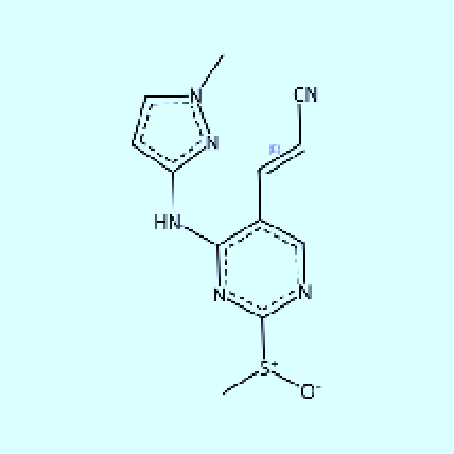 Cn1ccc(Nc2nc([S+](C)[O-])ncc2/C=C/C#N)n1